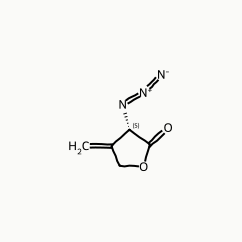 C=C1COC(=O)[C@H]1N=[N+]=[N-]